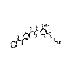 COc1cc(OCCCC#N)c(Cl)cc1NC(=O)N(S)c1ccc(NC(=O)c2ccccc2)cc1